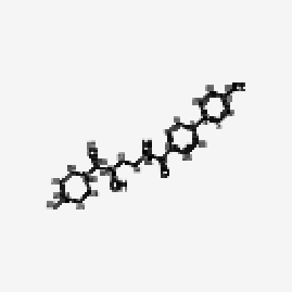 CCc1ccc(-c2ccc(C(=O)NCCN(O)C(=O)N3CCN(C)CC3)cc2)cc1